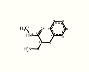 CNC(=O)[C@H](CN)Cc1ccccc1